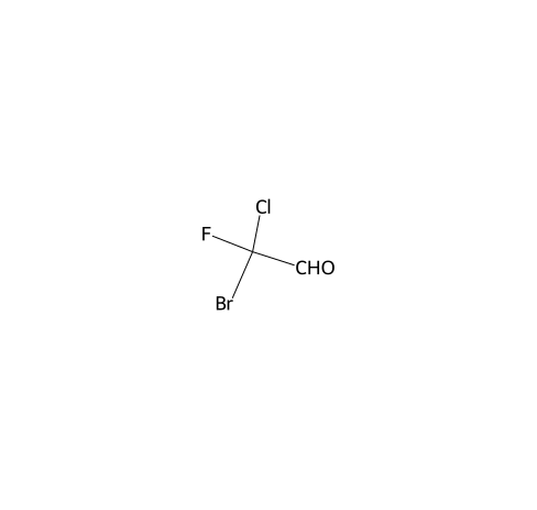 O=CC(F)(Cl)Br